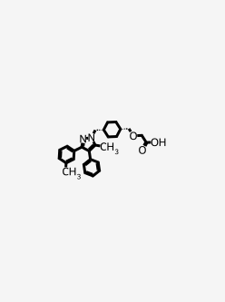 Cc1cccc(-c2nn(C[C@H]3CC[C@@H](COCC(=O)O)CC3)c(C)c2-c2ccccc2)c1